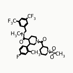 Cc1cc(F)ccc1C1CN(C(=O)C2CCCN(S(C)(=O)=O)C2)CCC1C(=O)N(C)Cc1cc(C(F)(F)F)cc(C(F)(F)F)c1